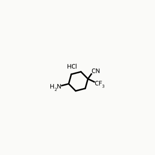 Cl.N#CC1(C(F)(F)F)CCC(N)CC1